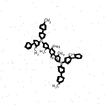 CCCCCCc1cc(-c2ccc(N(c3ccc(-c4ccc(C)cc4)cc3)c3ccc(-c4ccccc4)c(C)c3)cc2C)c(CCCCCC)cc1-c1ccc(N(c2ccc(-c3ccc(C)cc3)cc2)c2ccc(-c3ccccc3)c(C)c2)cc1C